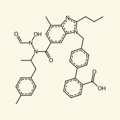 CCCc1nc2c(C)cc(C(=O)N(C(C)Cc3ccc(C)cc3)N(O)C=O)cc2n1Cc1ccc(-c2ccccc2C(=O)O)cc1